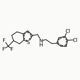 FC(F)(F)C1CCc2cc(CNCCc3ccc(Cl)c(Cl)c3)sc2C1